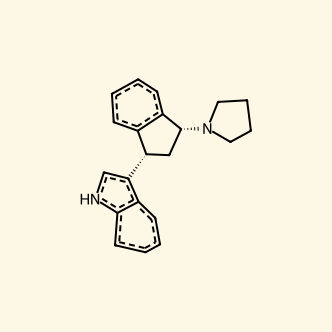 c1ccc2c(c1)[C@@H](c1c[nH]c3ccccc13)C[C@H]2N1CCCC1